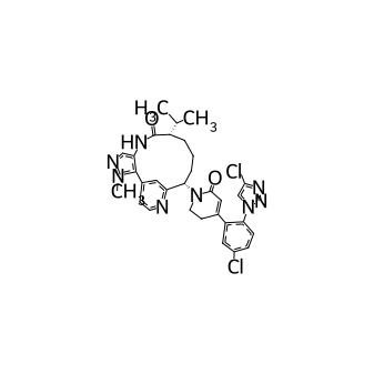 CC(C)[C@@H]1CCC[C@H](N2CCC(c3cc(Cl)ccc3-n3cc(Cl)nn3)=CC2=O)c2cc(ccn2)-c2c(cnn2C)NC1=O